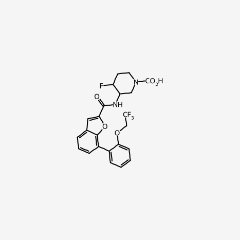 O=C(NC1CN(C(=O)O)CCC1F)c1cc2cccc(-c3ccccc3OCC(F)(F)F)c2o1